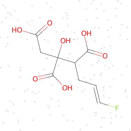 O=C(O)CC(O)(C(=O)O)C(CC=CF)C(=O)O